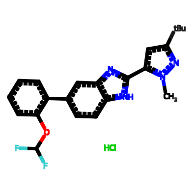 Cl.Cn1nc(C(C)(C)C)cc1-c1nc2cc(-c3ccccc3OC(F)F)ccc2[nH]1